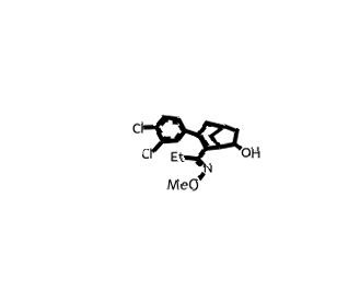 CCC(=NOC)C1=C(c2ccc(Cl)c(Cl)c2)CC2CC(O)C1C2